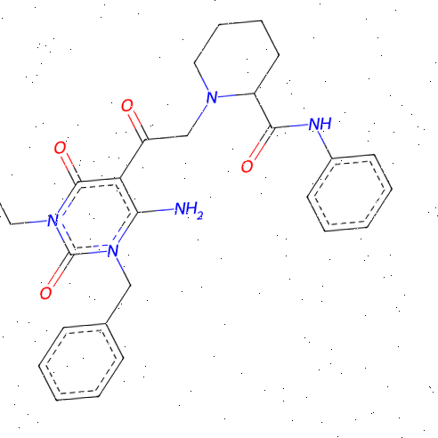 CCn1c(=O)c(C(=O)CN2CCCCC2C(=O)Nc2ccccc2)c(N)n(Cc2ccccc2)c1=O